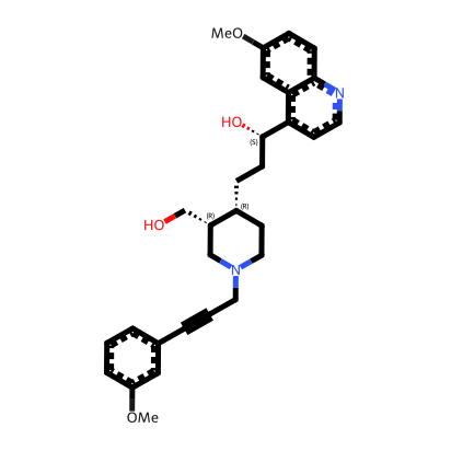 COc1cccc(C#CCN2CC[C@@H](CC[C@H](O)c3ccnc4ccc(OC)cc34)[C@@H](CO)C2)c1